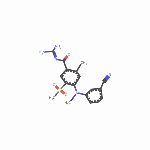 Cc1cc(N(C)c2cccc(C#N)c2)c(S(C)(=O)=O)cc1C(=O)N=C(N)N